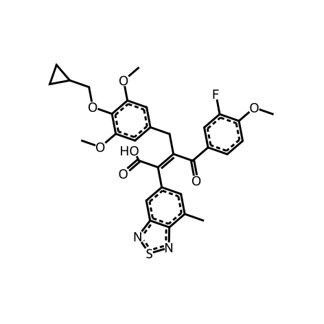 COc1ccc(C(=O)C(Cc2cc(OC)c(OCC3CC3)c(OC)c2)=C(C(=O)O)c2cc(C)c3nsnc3c2)cc1F